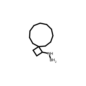 BNC1CCC12CCCCCCCCCC2